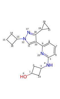 OC1CC(Nc2cccc(-c3cn(C4CCC4)nc3C3CC3)n2)C1